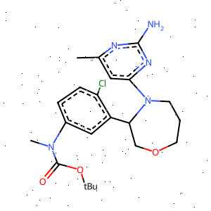 Cc1cc(N2CCCOCC2c2cc(N(C)C(=O)OC(C)(C)C)ccc2Cl)nc(N)n1